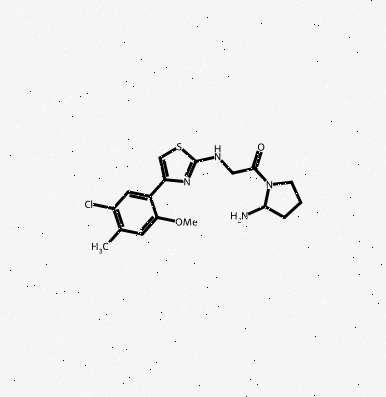 COc1cc(C)c(Cl)cc1-c1csc(NCC(=O)N2CCCC2N)n1